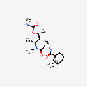 [CH2]C[C@H](C[C@H](C(C)C)N(C)C(=O)[C@@H](NC(=O)C12CCC(CC1)N2C)[C@@H](C)CC)OC(=O)NCC